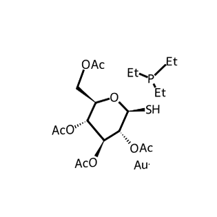 CC(=O)OC[C@H]1O[C@@H](S)[C@H](OC(C)=O)[C@@H](OC(C)=O)[C@@H]1OC(C)=O.CCP(CC)CC.[Au]